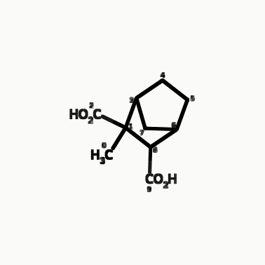 CC1(C(=O)O)C2CCC(C2)C1C(=O)O